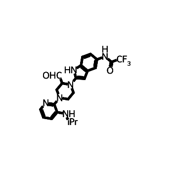 CC(C)Nc1cccnc1N1CCN(c2cc3cc(NC(=O)C(F)(F)F)ccc3[nH]2)C(C=O)C1